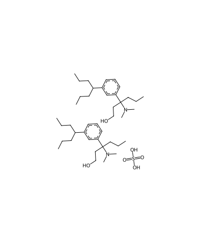 CCCC(CCC)c1cccc(C(CCC)(CCO)N(C)C)c1.CCCC(CCC)c1cccc(C(CCC)(CCO)N(C)C)c1.O=S(=O)(O)O